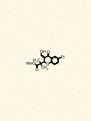 CCc1ccc2c(c1)C(=O)/C(=C\O)C(C(C)(C)C(=O)OC)O2